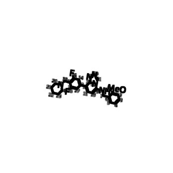 COc1ccccc1CNc1ccc(-c2cc(F)c(CN3CCCCC3)c(F)c2)c2nncn12